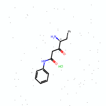 CC(C)C[C@H](N)C(=O)CC(=O)Nc1ccccc1.Cl